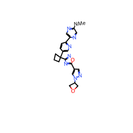 CNc1cnc(-c2ccc(C3(c4noc(-c5cnn(C6COC6)c5)n4)CCC3)cn2)cn1